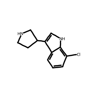 Clc1cccc2c(C3CCNC3)c[nH]c12